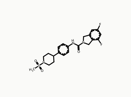 CS(=O)(=O)N1CCC(c2ccc(NC(=O)N3Cc4cc(F)cc(F)c4C3)cc2)CC1